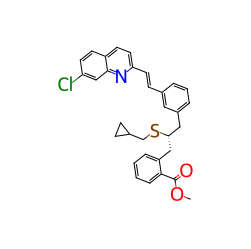 COC(=O)c1ccccc1C[C@@H](Cc1cccc(C=Cc2ccc3ccc(Cl)cc3n2)c1)SCC1CC1